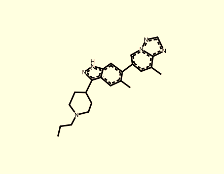 CCCN1CCC(c2n[nH]c3cc(-c4cc(C)c5ncnn5c4)c(C)cc23)CC1